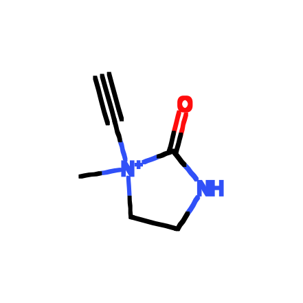 C#C[N+]1(C)CCNC1=O